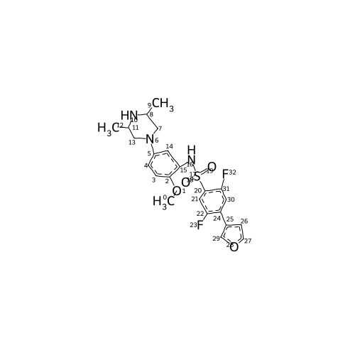 COc1ccc(N2CC(C)NC(C)C2)cc1NS(=O)(=O)c1cc(F)c(-c2ccoc2)cc1F